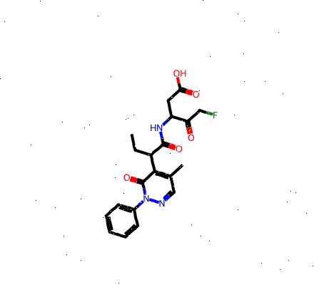 CCC(C(=O)NC(CC(=O)O)C(=O)CF)c1c(C)cnn(-c2ccccc2)c1=O